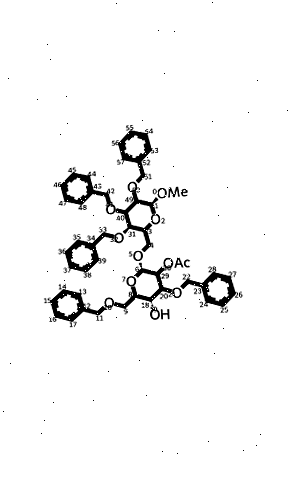 CO[C@H]1OC(CO[C@H]2OC(COCc3ccccc3)[C@@H](O)C(OCc3ccccc3)C2OC(C)=O)[C@@H](OCc2ccccc2)C(OCc2ccccc2)C1OCc1ccccc1